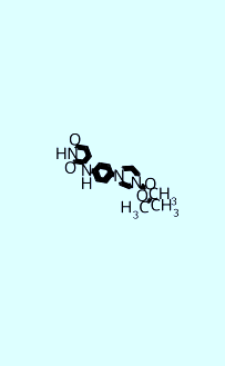 CC(C)(C)OC(=O)N1CCCN(c2ccc(NC3CCC(=O)NC3=O)cc2)CC1